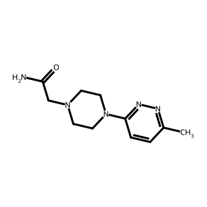 Cc1ccc(N2CCN(CC(N)=O)CC2)nn1